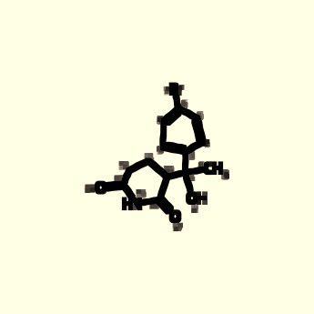 CC(O)(c1ccc(Br)cc1)C1CCC(=O)NC1=O